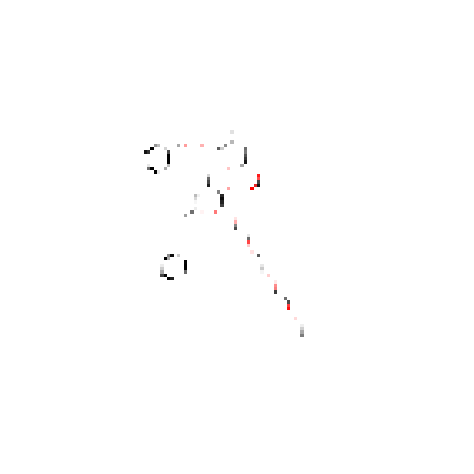 CC(=O)O[C@@H]1C(C)[C@H](C)C(COCc2ccccc2)O[C@@H]1O[C@@H]1C(C)[C@H](C)C(COCc2ccccc2)O[C@@H]1OCCOCCOCCOCCN